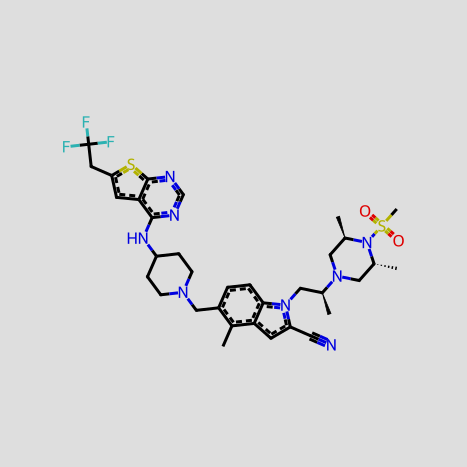 Cc1c(CN2CCC(Nc3ncnc4sc(CC(F)(F)F)cc34)CC2)ccc2c1cc(C#N)n2C[C@H](C)N1C[C@@H](C)N(S(C)(=O)=O)[C@H](C)C1